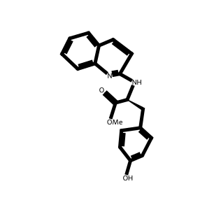 COC(=O)[C@H](Cc1ccc(O)cc1)Nc1ccc2ccccc2n1